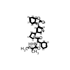 CN[C@@H](C)C(=O)N[C@H](C(=O)N1CCC[C@H]1c1cncc(-n2c(=O)oc3ccccc32)c1)C1CCCCC1